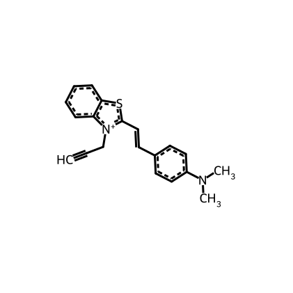 C#CC[n+]1c(/C=C/c2ccc(N(C)C)cc2)sc2ccccc21